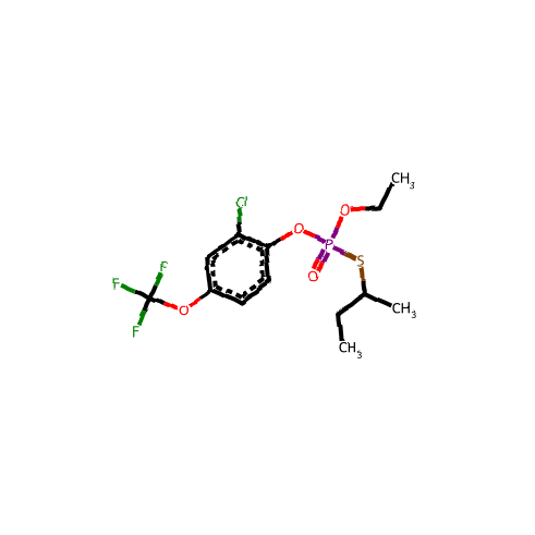 CCOP(=O)(Oc1ccc(OC(F)(F)F)cc1Cl)SC(C)CC